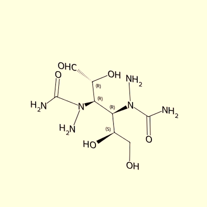 NC(=O)N(N)[C@H]([C@H]([C@@H](O)C=O)N(N)C(N)=O)[C@H](O)CO